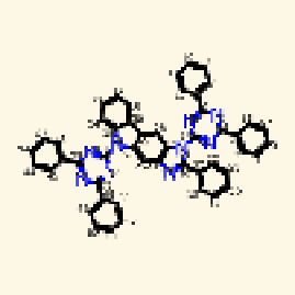 c1ccc(-c2nc(-c3ccccc3)nc(-n3c(-c4ccccc4)nc4cc5c(cc43)c3ccccc3n5-c3nc(-c4ccccc4)nc(-c4ccccc4)n3)n2)cc1